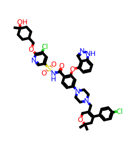 CC1(O)CCC(COc2ncc(S(=O)(=O)NC(=O)c3ccc(N4CCN(CC5=C(c6ccc(Cl)cc6)CC(C)(C)OC5)CC4)cc3Oc3cccc4[nH]ncc34)cc2Cl)CC1